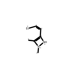 CC/C=C\c1[nH]n(C)c1C